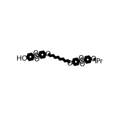 CC(C)Oc1ccc(S(=O)(=O)c2ccc(OCCCCCCCCOc3ccc(S(=O)(=O)c4ccc(O)cc4)cc3)cc2)cc1